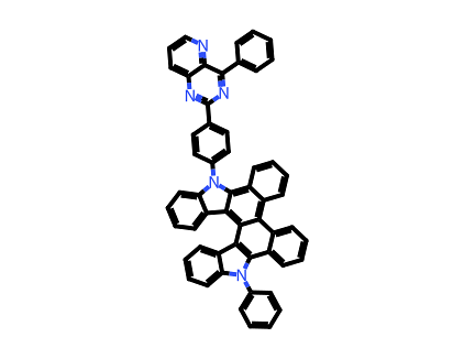 c1ccc(-c2nc(-c3ccc(-n4c5ccccc5c5c6c(c7ccccc7c7c6c6ccccc6n7-c6ccccc6)c6ccccc6c54)cc3)nc3cccnc23)cc1